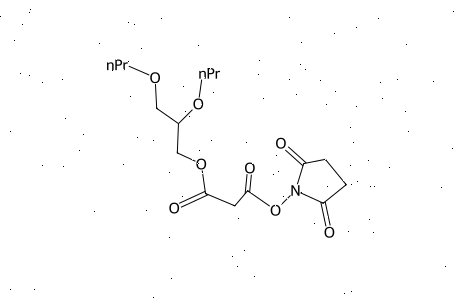 CCCOCC(COC(=O)CC(=O)ON1C(=O)CCC1=O)OCCC